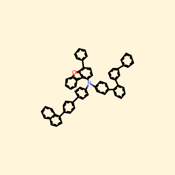 c1ccc(-c2cccc(-c3ccccc3-c3ccc(N(c4ccc(-c5ccc(-c6cccc7ccccc67)cc5)cc4)c4ccc(-c5ccccc5)c5oc6ccccc6c45)cc3)c2)cc1